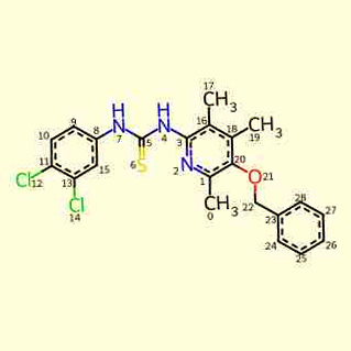 Cc1nc(NC(=S)Nc2ccc(Cl)c(Cl)c2)c(C)c(C)c1OCc1ccccc1